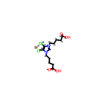 O=C(O)CCCCn1c[n+](CCCCC(=O)O)c(Cl)c1Cl.[Br-]